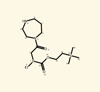 CCN(CC(=O)N1CCCNCC1)C(=O)OCCS(C)(C)C